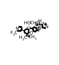 CN(C)[C@H]1C[C@@H](c2ccnc(C(F)(F)F)c2)CC[C@@H]1Oc1cc(F)c(S(=O)(=O)Nc2ccncn2)cc1Cl.O=CO